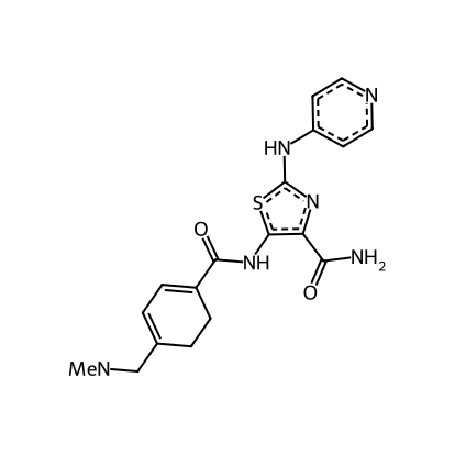 CNCC1=CC=C(C(=O)Nc2sc(Nc3ccncc3)nc2C(N)=O)CC1